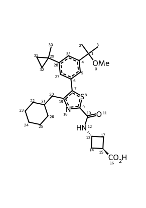 COC(C)(C)c1cc(-c2sc(C(=O)N[C@H]3C[C@H](C(=O)O)C3)nc2CC2CCCCC2)cc(C2(C)CC2)c1